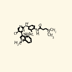 CC(=O)Nc1cc(Nc2ncc(Cl)c(-c3cn(C)c4ccccc34)n2)ccc1NC(=O)CCN(C)C